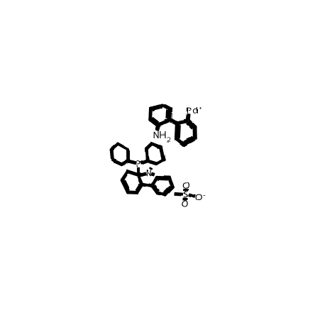 CN(C)C1(P(C2CCCCC2)C2CCCCC2)CC=CC=C1c1ccccc1.CS(=O)(=O)[O-].Nc1ccccc1-c1cccc[c]1[Pd+]